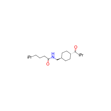 CC(C)CCCC(=O)NC[C@H]1CC[C@H](C(=O)C(C)C)CC1